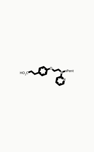 CCCCCN(CCOc1ccc(CCC(=O)O)cc1)c1ccccn1